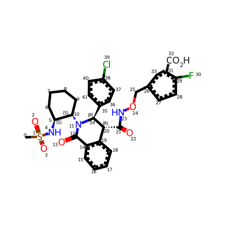 CS(=O)(=O)N[C@H]1CCCC[C@@H]1N1C(=O)c2ccccc2[C@@H](C(=O)NOCc2ccc(F)c(C(=O)O)c2)[C@@H]1c1ccc(Cl)cc1